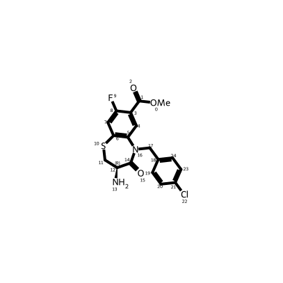 COC(=O)c1cc2c(cc1F)SC[C@H](N)C(=O)N2Cc1ccc(Cl)cc1